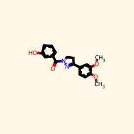 COc1ccc(C2=NN(C(=O)c3cccc(O)c3)CC2)cc1OC